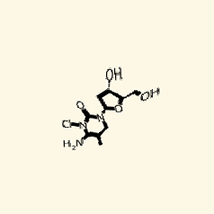 CC1=C(N)N(Cl)C(=O)N([C@H]2C[C@H](O)[C@@H](CO)O2)C1